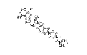 CC(C)N1CCOc2c(F)cc(-c3c(F)cnc(Nc4ccc5sc(N6CCN(CCN(C)C)CC6)nc5c4)c3C#N)cc21